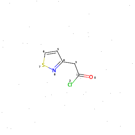 O=C(Cl)Cc1ccsn1